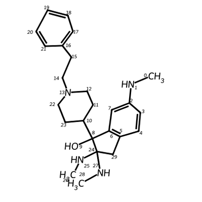 CNc1ccc2c(c1)C(O)(C1CCN(CCc3ccccc3)CC1)C(NC)(NC)C2